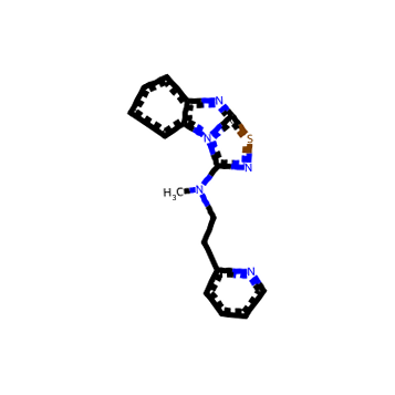 CN(CCc1ccccn1)c1nsc2nc3ccccc3n12